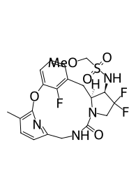 COCS(=O)(=O)N[C@@H]1[C@@H]2Cc3cccc(c3F)Oc3nc(ccc3C)CNC(=O)N2CC1(F)F